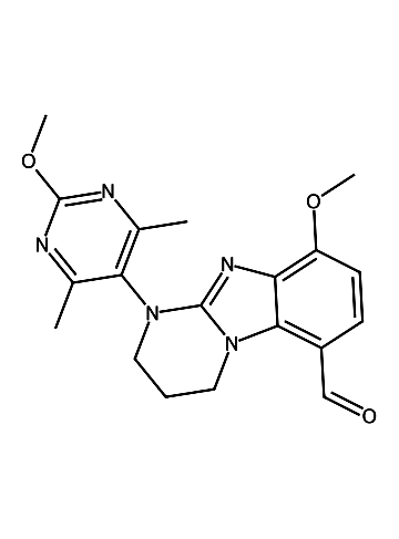 COc1nc(C)c(N2CCCn3c2nc2c(OC)ccc(C=O)c23)c(C)n1